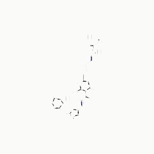 COC(=O)N/C=C/CCCc1cc(O)c(C(=O)/C(C)=C/c2cnc(Oc3ccc(F)cc3)s2)c(=O)o1